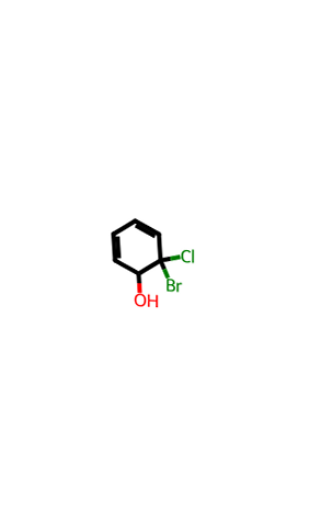 OC1C=CC=CC1(Cl)Br